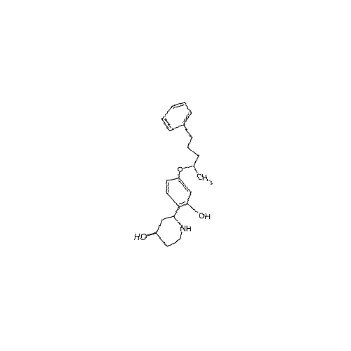 CC(CCCc1ccccc1)Oc1ccc(C2CC(O)CCN2)c(O)c1